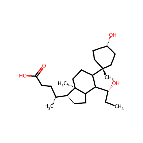 CC[C@@H](O)C1C2CC[C@H]([C@H](C)CCC(=O)O)[C@@]2(C)CCC1[C@]1(C)CC[C@H](O)CC1